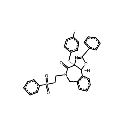 O=C1N(CCS(=O)(=O)c2ccccc2)Cc2ccccc2[C@@H]2OC(c3ccccc3)=N[C@]12Cc1ccc(F)cc1